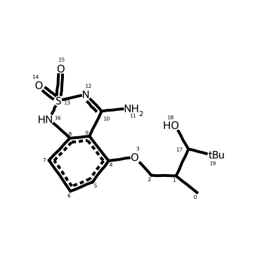 CC(COc1cccc2c1C(N)=NS(=O)(=O)N2)C(O)C(C)(C)C